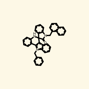 O=C1N(Cc2cccc3ccccc23)c2ccccc2C12Nc1ccccc1-c1c2c2ccccc2n1Cc1ccccc1